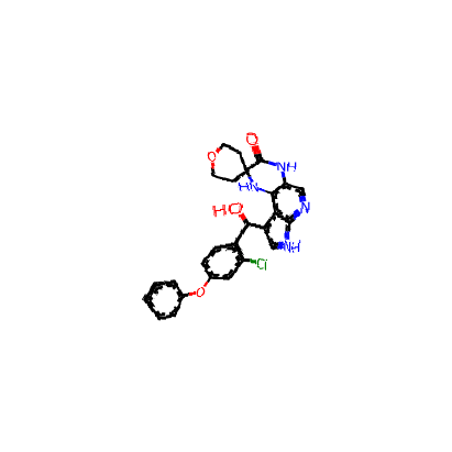 O=C1Nc2cnc3[nH]cc(C(O)c4ccc(Oc5ccccc5)cc4Cl)c3c2NC12CCOCC2